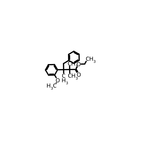 CCOC(=O)C(C)(C)C(C)(Cc1ccccc1)c1ccccc1OC